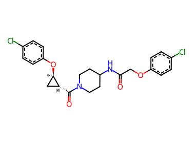 O=C(COc1ccc(Cl)cc1)NC1CCN(C(=O)[C@@H]2C[C@H]2Oc2ccc(Cl)cc2)CC1